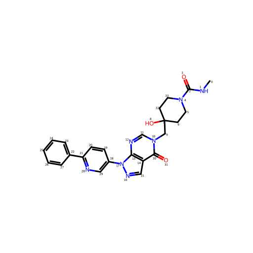 CNC(=O)N1CCC(O)(Cn2cnc3c(cnn3-c3ccc(-c4ccccc4)nc3)c2=O)CC1